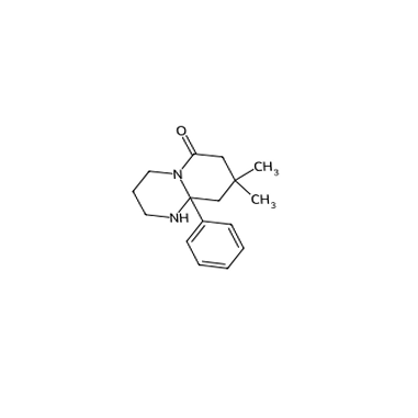 CC1(C)CC(=O)N2CCCNC2(c2ccccc2)C1